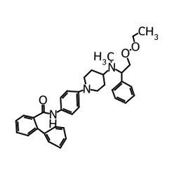 CCOOCC(c1ccccc1)N(C)C1CCN(c2ccc(NC(=O)c3ccccc3-c3ccccc3)cc2)CC1